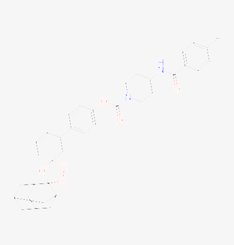 O=C(NC1CCN(C(=O)Oc2ccc(C3CCC[C@]4(C3)OOC3(O4)C4CC5CC(C4)CC3C5)cc2)CC1)c1ccc(F)cc1